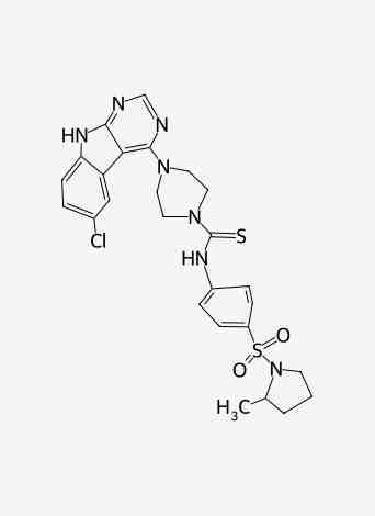 CC1CCCN1S(=O)(=O)c1ccc(NC(=S)N2CCN(c3ncnc4[nH]c5ccc(Cl)cc5c34)CC2)cc1